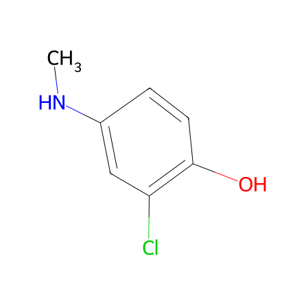 CNc1ccc(O)c(Cl)c1